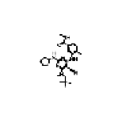 CNC(=O)c1ccc(C)c(Nc2nc(NC3CCCC3)nc(N(C)CC(C)(C)C)c2C#N)c1